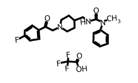 CN(C(=O)NCC1CCN(CC(=O)c2ccc(F)cc2)CC1)c1ccccc1.O=C(O)C(F)(F)F